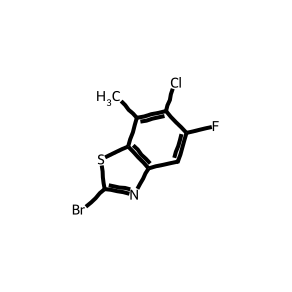 Cc1c(Cl)c(F)cc2nc(Br)sc12